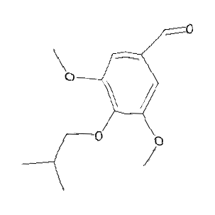 COc1cc(C=O)cc(OC)c1OCC(C)C